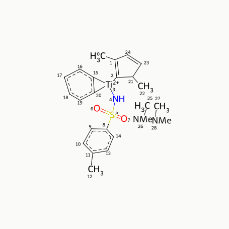 CC1=[C]([Ti+2]2([NH]S(=O)(=O)c3ccc(C)cc3)[c]3cccc[c]32)C(C)C=C1.C[N-]C.C[N-]C